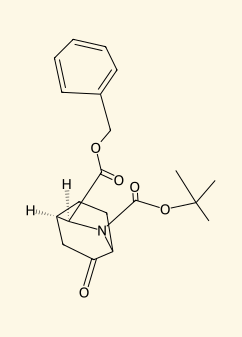 CC(C)(C)OC(=O)N1C2CC[C@H](CC2=O)[C@H]1C(=O)OCc1ccccc1